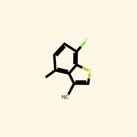 Cc1ccc(F)c2scc(C#N)c12